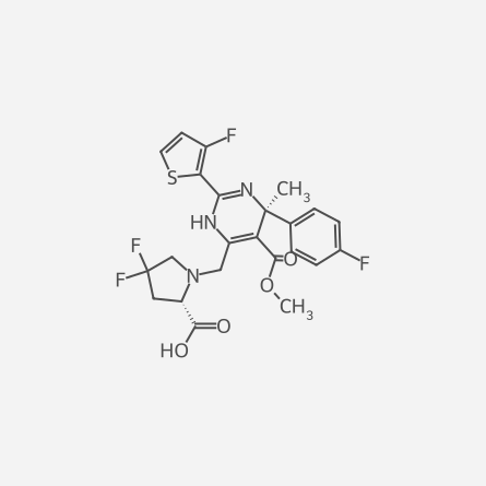 COC(=O)C1=C(CN2CC(F)(F)C[C@H]2C(=O)O)NC(c2sccc2F)=N[C@@]1(C)c1ccc(F)cc1